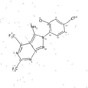 Nc1c2c(C(F)(F)F)nc(C(F)(F)F)nc2nn1-c1ccc(Cl)cc1Cl